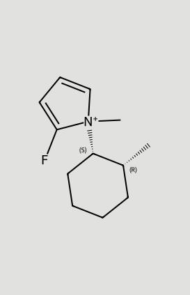 C[C@@H]1CCCC[C@@H]1[N+]1(C)C=CC=C1F